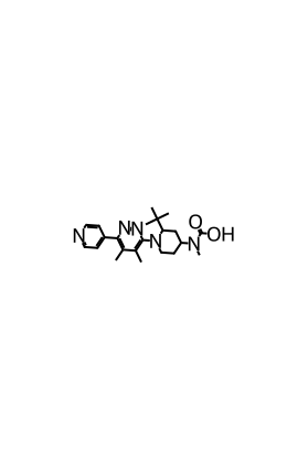 Cc1c(-c2ccncc2)nnc(N2CCC(N(C)C(=O)O)CC2C(C)(C)C)c1C